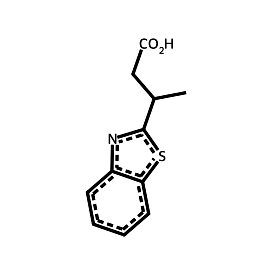 CC(CC(=O)O)c1nc2ccccc2s1